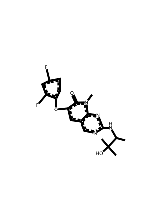 CC(Nc1ncc2cc(Oc3ccc(F)cc3F)c(=O)n(C)c2n1)C(C)(C)O